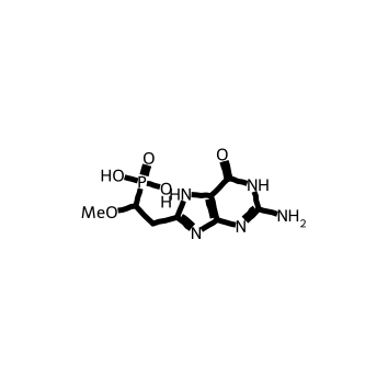 COC(Cc1nc2nc(N)[nH]c(=O)c2[nH]1)P(=O)(O)O